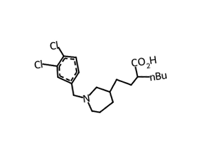 CCCCC(CCC1CCCN(Cc2ccc(Cl)c(Cl)c2)C1)C(=O)O